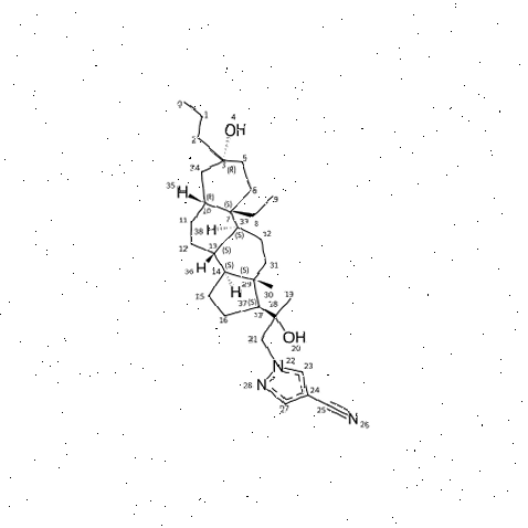 CCC[C@@]1(O)CC[C@@]2(CC)[C@H](CC[C@H]3[C@@H]4CC[C@H](C(C)(O)Cn5cc(C#N)cn5)[C@@]4(C)CC[C@@H]32)C1